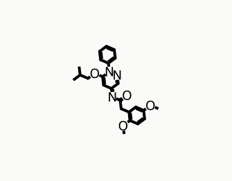 COc1ccc(OC)c(CC(=O)N=c2cnn(-c3ccccc3)c(OCC(C)C)c2)c1